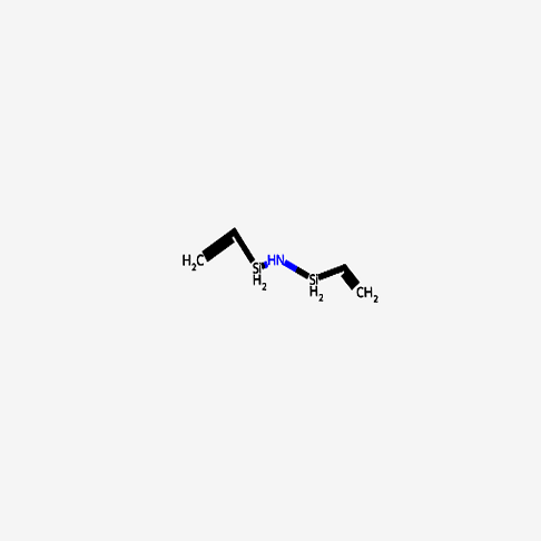 C=C[SiH2]N[SiH2]C=C